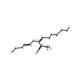 CCCC=CCC(=CCCCCCC)C(N)=O